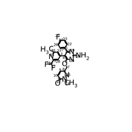 Cc1cc(-c2c(OCc3ccc(=O)n(C)n3)nc(N)nc2-c2ccc(F)cc2)cc(C(F)F)n1